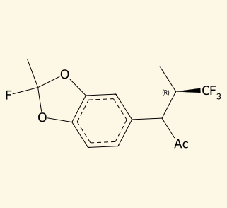 CC(=O)C(c1ccc2c(c1)OC(C)(F)O2)[C@@H](C)C(F)(F)F